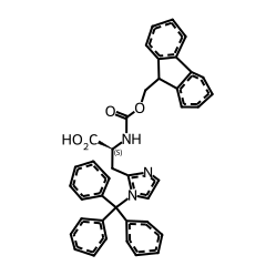 O=C(N[C@@H](Cc1nccn1C(c1ccccc1)(c1ccccc1)c1ccccc1)C(=O)O)OCC1c2ccccc2-c2ccccc21